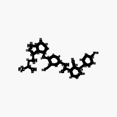 O=C(Nc1ccc(Oc2ccnc3[nH]nc(NCC(O)C(F)(F)F)c23)c(F)c1)c1ccnn(-c2ccc(F)cc2)c1=O